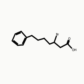 O=C(O)CC(Br)CCCCc1ccccc1